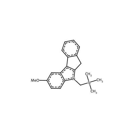 COc1ccc2c(c1)c1c(n2C[Si](C)(C)C)Cc2ccccc2-1